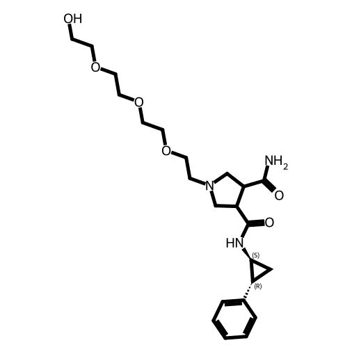 NC(=O)C1CN(CCOCCOCCOCCO)CC1C(=O)N[C@H]1C[C@@H]1c1ccccc1